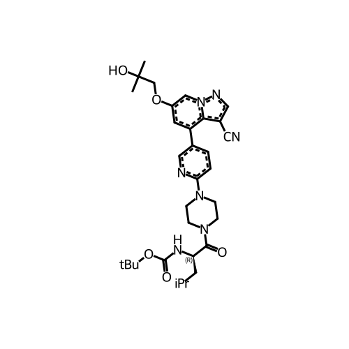 CC(C)C[C@@H](NC(=O)OC(C)(C)C)C(=O)N1CCN(c2ccc(-c3cc(OCC(C)(C)O)cn4ncc(C#N)c34)cn2)CC1